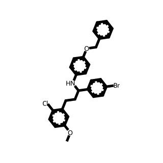 COc1ccc(Cl)c(CCC(Nc2ccc(OCc3ccccc3)cc2)c2ccc(Br)cc2)c1